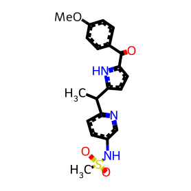 COc1ccc(C(=O)c2ccc(C(C)c3ccc(NS(C)(=O)=O)cn3)[nH]2)cc1